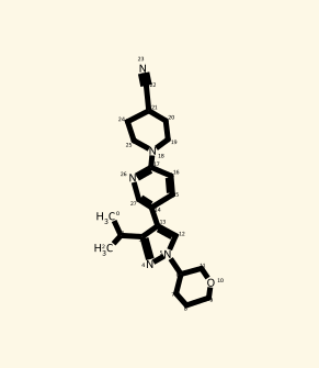 CC(C)c1nn(C2CCCOC2)cc1-c1ccc(N2CCC(C#N)CC2)nc1